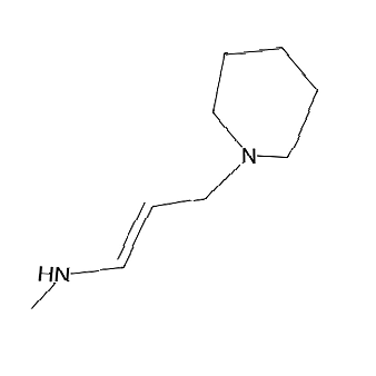 CNC=CCN1CCCCC1